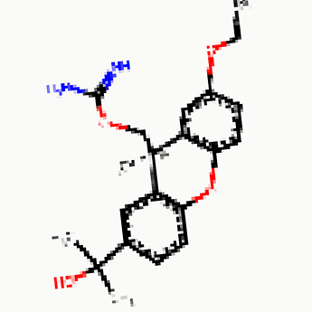 CC(C)(C)COc1ccc2c(c1)[C@](C)(COC(=N)N)c1cc(C(C)(C)O)ccc1O2